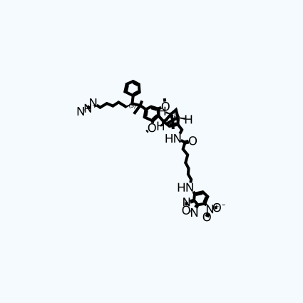 COc1cc(C(C)(C)[C@@H](CCCCCN=[N+]=[N-])c2ccccc2)cc(OC)c1[C@H]1C=C(CNC(=O)CCCCCCNc2ccc([N+](=O)[O-])c3nonc23)[C@H]2C[C@@H]1C2(C)C